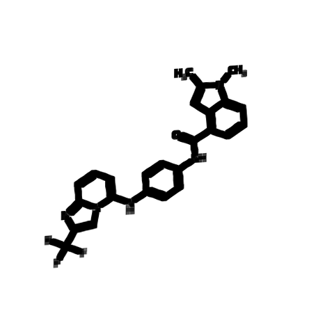 Cc1cc2c(C(=O)Nc3ccc(Nc4cccc5nc(C(F)(F)F)cn45)cc3)cccc2n1C